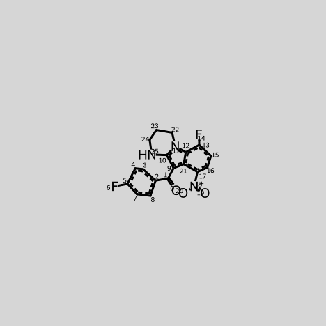 O=C(c1ccc(F)cc1)c1c2n(c3c(F)ccc([N+](=O)[O-])c13)CCCN2